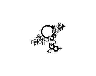 COC[C@@H]1C[C@H](C)CC/C=C\C2C[C@@]2(C(=O)NS(=O)(=O)C2(C)CC2)NC(=O)[C@@H]2C[C@@H](Oc3ncc(OC)c4ccc(F)cc34)CN2C(=O)[C@H]1NC(=O)OC(C)(C)C(F)(F)F